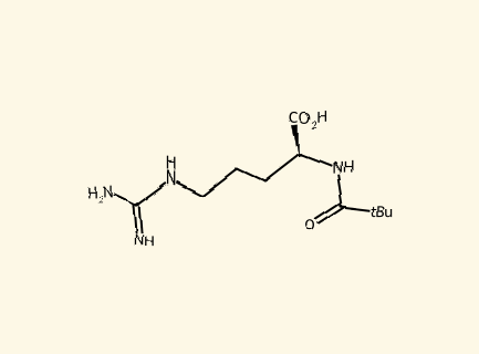 CC(C)(C)C(=O)N[C@@H](CCCNC(=N)N)C(=O)O